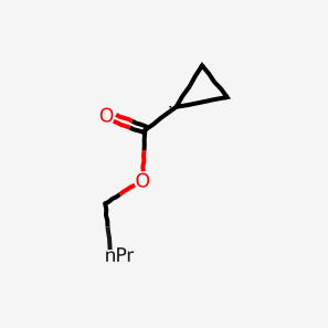 CCCCOC(=O)[C]1CC1